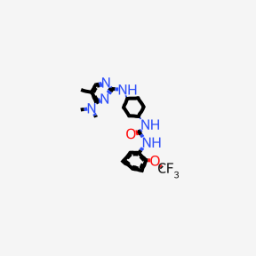 Cc1cnc(N[C@H]2CC[C@@H](NC(=O)Nc3ccccc3OC(F)(F)F)CC2)nc1N(C)C